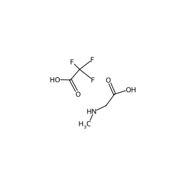 CNCC(=O)O.O=C(O)C(F)(F)F